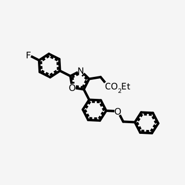 CCOC(=O)Cc1nc(-c2ccc(F)cc2)oc1-c1cccc(OCc2ccccc2)c1